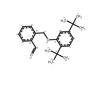 CC(C)(C)c1ccc(C(C)(C)C)c(OCc2ccccc2C=O)c1